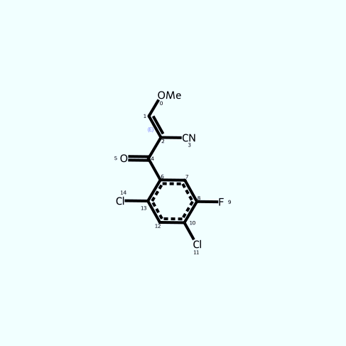 CO/C=C(\C#N)C(=O)c1cc(F)c(Cl)cc1Cl